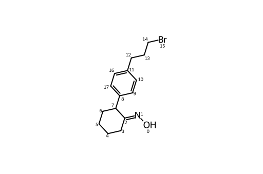 ON=C1CCCCC1c1ccc(CCCBr)cc1